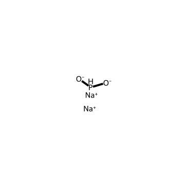 [Na+].[Na+].[O-]P[O-]